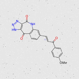 COc1ccc(C(=O)/C=C/c2ccc3c(=O)c4[nH]nnc4c(=O)[nH]c3c2)cc1